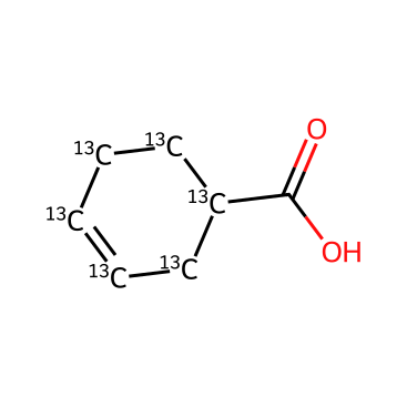 O=C(O)[13CH]1[13CH2][13CH]=[13CH][13CH2][13CH2]1